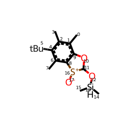 Cc1c(C)c(C(C)(C)C)c(C)c2c1OC(O[SiH](C)C)[S+]2[O-]